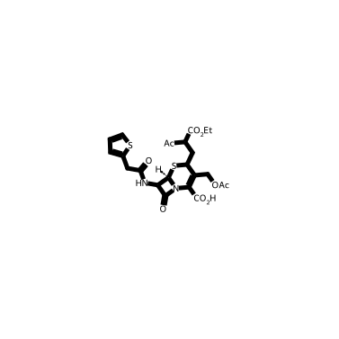 CCOC(=O)C(CC1S[C@@H]2C(NC(=O)Cc3cccs3)C(=O)N2C(C(=O)O)=C1COC(C)=O)C(C)=O